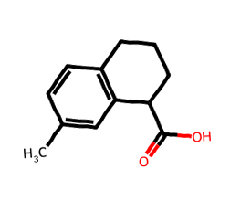 Cc1ccc2c(c1)C(C(=O)O)CCC2